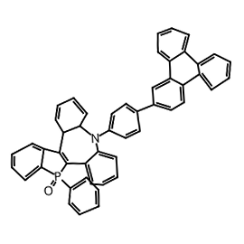 O=P1(c2ccccc2)C2=C(c3ccccc31)C1C=CC=CC1N(c1ccc(-c3ccc4c5ccccc5c5ccccc5c4c3)cc1)c1ccccc12